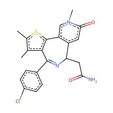 Cc1sc2c(c1C)C(c1ccc(Cl)cc1)=NC(CC(N)=O)c1cc(=O)n(C)cc1-2